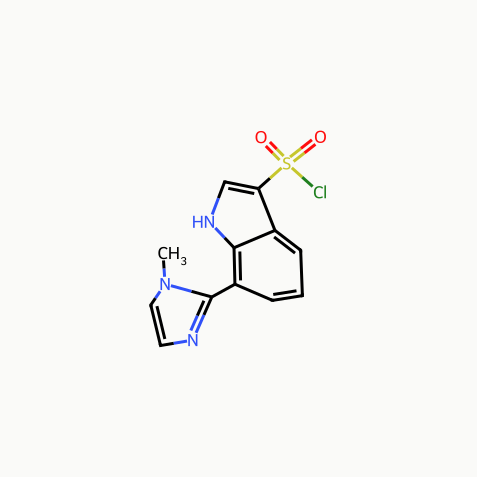 Cn1ccnc1-c1cccc2c(S(=O)(=O)Cl)c[nH]c12